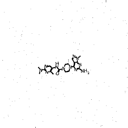 Cc1nc(N(C)C)ncc1NC(=O)N1CCN(c2nc(N)nc3c2cnn3C)[C@@H](C)C1